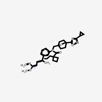 C=N/C(=C\C=C(/C)c1cccc(N(CC23CCC(c4nc(C5CC5)no4)(CC2)CC3)C(=O)C2(CCF)CCC2)c1)OC